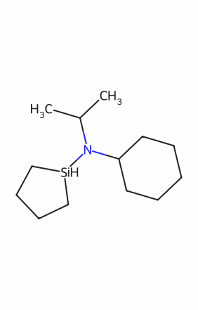 CC(C)N(C1CCCCC1)[SiH]1CCCC1